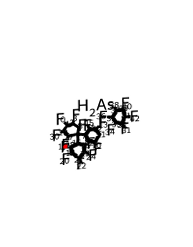 FC1=C(F)C(F)C(c2cc(F)cc(F)c2F)(c2c(F)c(F)c(F)c(F)c2F)C(F)=C1F.Fc1c(F)c(F)c([AsH2])c(F)c1F